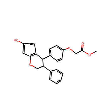 COC(=O)COc1ccc(C2c3ccc(O)cc3OCC2c2ccccc2)cc1